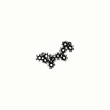 CC1(C)c2ccccc2-c2ccc(-n3c4ccccc4c4cc(-c5ccc6c(c5)c5ccccc5n6-c5ccc(-c6cccc7oc8ccccc8c67)cc5)ccc43)cc21